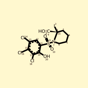 O=C(O)[C@@]1(I)CCCCN1S(=O)(=O)c1cc(Cl)c(Cl)c(Cl)c1O